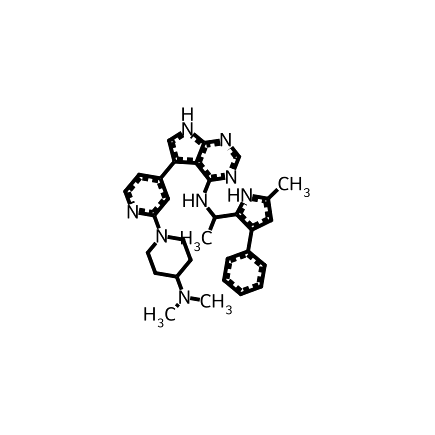 Cc1cc(-c2ccccc2)c(C(C)Nc2ncnc3[nH]cc(-c4ccnc(N5CCC(N(C)C)CC5)c4)c23)[nH]1